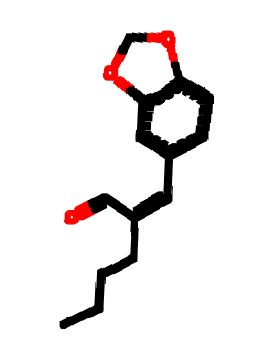 CCCCC(C=O)=Cc1ccc2c(c1)OCO2